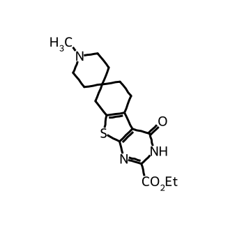 CCOC(=O)c1nc2sc3c(c2c(=O)[nH]1)CCC1(CCN(C)CC1)C3